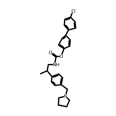 CC(CNC(=O)Oc1ccc(-c2ccc(Cl)cc2)cc1)c1ccc(CN2CCCC2)cc1